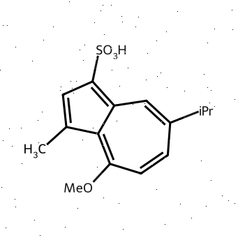 COc1ccc(C(C)C)cc2c(S(=O)(=O)O)cc(C)c1-2